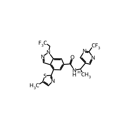 Cc1cnc(-c2cc(C(=O)N[C@H](C)c3cnc(C(F)(F)F)nc3)cc3c2cnn3CC(F)(F)F)s1